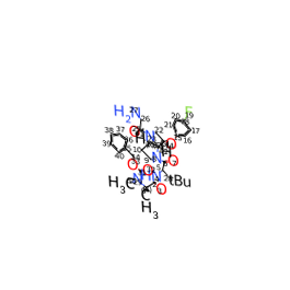 C[C@@H](C(=O)NC(C(=O)N1CC[C@@H]2[C@H]1[C@@H](Oc1ccc(F)cc1)CN2C(=O)CN)C(C)(C)C)N(C)C(=O)OCc1ccccc1